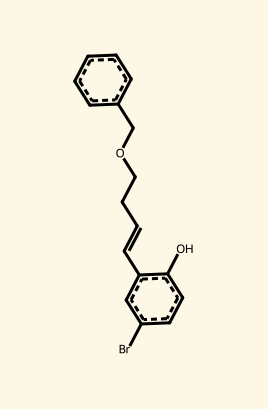 Oc1ccc(Br)cc1C=CCCOCc1ccccc1